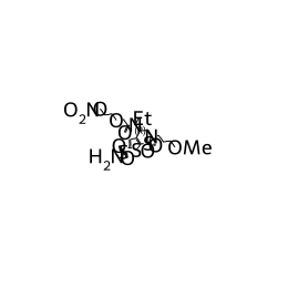 CCN(C(=O)COCCO[N+](=O)[O-])[C@H]1CN(CCCOC)S(=O)(=O)c2sc(S(N)(=O)=O)cc21